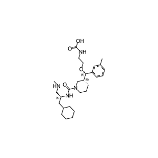 CNC[C@H](CC1CCCCC1)NC(=O)N1CCC[C@@H]([C@@H](OCCNC(=O)O)c2cccc(C)c2)C1